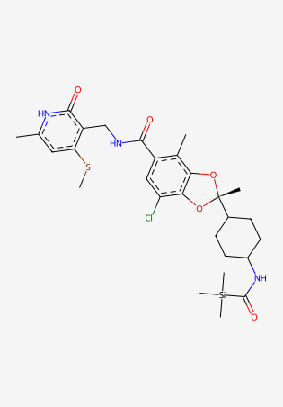 CSc1cc(C)[nH]c(=O)c1CNC(=O)c1cc(Cl)c2c(c1C)O[C@](C)(C1CCC(NC(=O)[Si](C)(C)C)CC1)O2